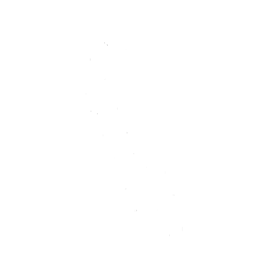 CN(C)CCCC(C)(C)CCC(C)(C)c1ccc(C(=O)O)cc1